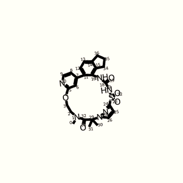 CN1CCOc2cc(ccn2)-c2ccc3c(c2NC(=O)NS(=O)(=O)c2ccn(n2)C(C)(C)C1=O)CCC3